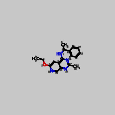 CCOc1cc2c(NC(C)c3ccccc3)nc(C)nc2cn1